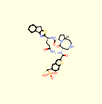 NC(=O)CC[C@H](NC(=O)[C@@H]1CC[C@@H]2CCNC[C@H](NC(=O)c3cc4cc(C(F)(F)P(=O)(O)O)ccc4s3)C(=O)N21)c1nc2c(s1)Cc1ccccc1-2